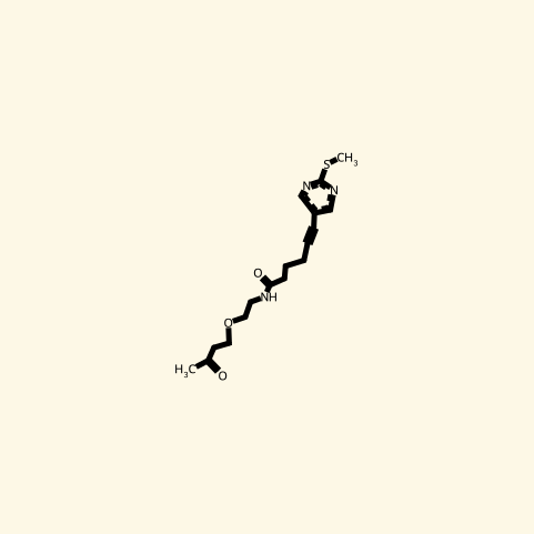 CSc1ncc(C#CCCCC(=O)NCCOCCC(C)=O)cn1